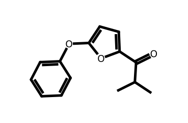 CC(C)C(=O)c1ccc(Oc2ccccc2)o1